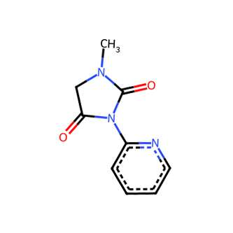 CN1CC(=O)N(c2ccccn2)C1=O